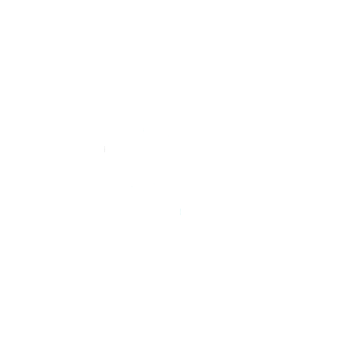 FC(=C(F)C(F)(F)C(F)(F)C(F)(F)F)C(F)(F)F